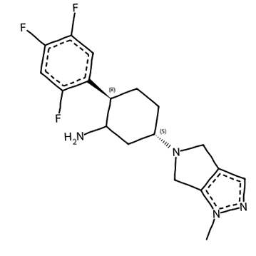 Cn1ncc2c1CN([C@H]1CC[C@H](c3cc(F)c(F)cc3F)C(N)C1)C2